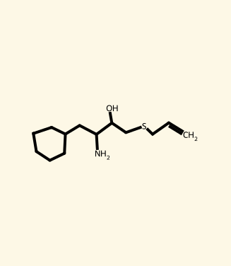 C=CCSCC(O)C(N)CC1CCCCC1